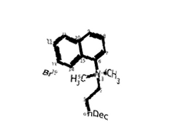 CCCCCCCCCCCC[N+](C)(C)c1cccc2ccccc12.[Br-]